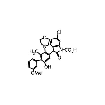 COc1cccc(-c2c(O)cc(C3C(=O)N(C(=O)O)c4cc(Cl)ccc43)c(N3CCOCC3)c2C)c1